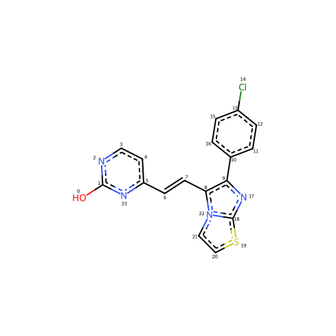 Oc1nccc(/C=C/c2c(-c3ccc(Cl)cc3)nc3sccn23)n1